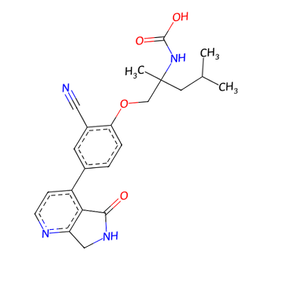 CC(C)CC(C)(COc1ccc(-c2ccnc3c2C(=O)NC3)cc1C#N)NC(=O)O